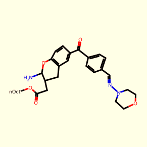 CCCCCCCCOC(=O)CC1Cc2cc(C(=O)c3ccc(C=NN4CCOCC4)cc3)ccc2OC1N